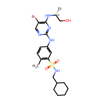 CC[C@H](CO)Nc1nc(Nc2ccc(C)c(S(=O)(=O)NCC3CCCCC3)c2)ncc1Br